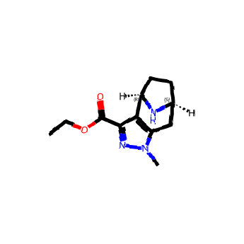 CCOC(=O)c1nn(C)c2c1[C@H]1CC[C@@H](C2)N1